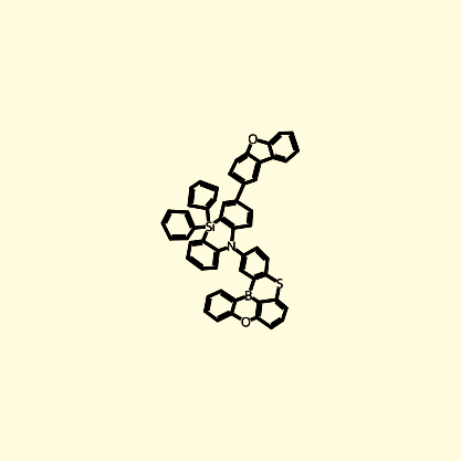 c1ccc([Si]2(c3ccccc3)c3ccccc3N(c3ccc4c(c3)B3c5ccccc5Oc5cccc(c53)S4)c3ccc(-c4ccc5oc6ccccc6c5c4)cc32)cc1